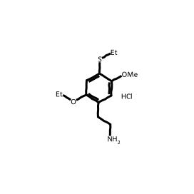 CCOc1cc(SCC)c(OC)cc1CCN.Cl